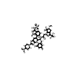 CC[C@@H]1Cc2c(C(F)(F)F)nn(CC(=O)N[C@@H](Cc3cc(F)cc(F)c3)c3nc4nc(N5CCC(N(C)C)CC5)sc4cc3-c3cccc4c(NS(C)(=O)=O)nn(C)c34)c2C1(F)F